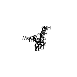 CCc1cccc(-c2c(Cl)cccc2[C@](O)(CCCNC(=O)OC)[C@@H]2CCCN(C(=O)NCC3CCNCC3)C2)c1